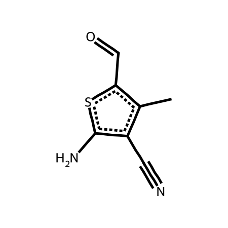 Cc1c(C=O)sc(N)c1C#N